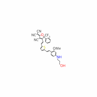 COc1cc(NCCCO)ccc1C=Cc1ccc(C=CC2=C(C#N)C(=C(C#N)C#N)OC2(c2ccccc2)C(F)(F)F)s1